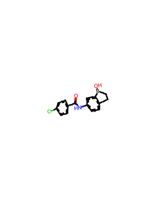 O=C(Nc1ccc2c(c1)B(O)CC2)c1ccc(Cl)cc1